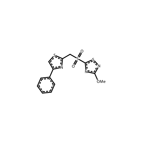 COc1nsc(S(=O)(=O)Cc2nc(-c3ccccc3)cs2)n1